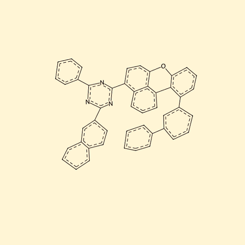 c1ccc(-c2cccc(-c3cccc4c3-c3cccc5c(-c6nc(-c7ccccc7)nc(-c7ccc8ccccc8c7)n6)ccc(c35)O4)c2)cc1